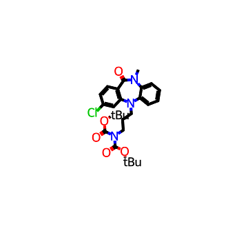 CN1C(=O)c2ccc(Cl)cc2N(CCCN(C(=O)OC(C)(C)C)C(=O)OC(C)(C)C)c2ccccc21